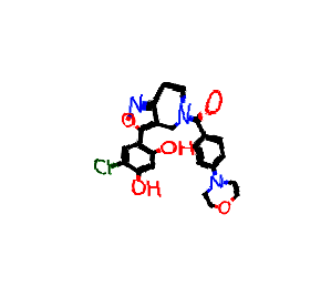 O=C(c1ccc(N2CCOCC2)cc1)N1CCc2noc(-c3cc(Cl)c(O)cc3O)c2C1